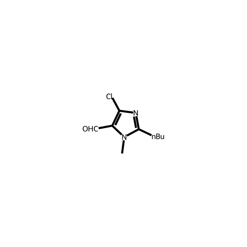 CCCCc1nc(Cl)c(C=O)n1C